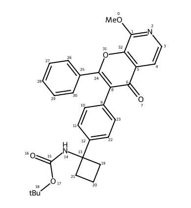 COc1nccc2c(=O)c(-c3ccc(C4(NC(=O)OC(C)(C)C)CCC4)cc3)c(-c3ccccc3)oc12